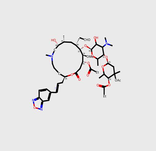 CCC(=O)O[C@@H]1CC(=O)O[C@@H](C/C=C/c2ccc3nonc3c2)CCCN(C)C[C@H](O)[C@H](C)C[C@H](CC=O)[C@H](O[C@@H]2OC(C)[C@@H](O[C@H]3CC(C)(OC(C)=O)[C@@H](OC(=O)CC)C(C)O3)C(N(C)C)C2O)[C@H]1OC